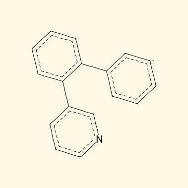 [c]1cccc(-c2ccccc2-c2cccnc2)c1